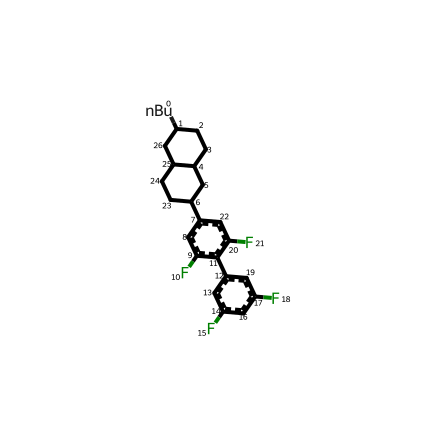 CCCCC1CCC2CC(c3cc(F)c(-c4cc(F)cc(F)c4)c(F)c3)CCC2C1